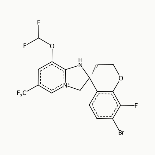 Fc1c(Br)ccc2c1OCC[C@@]21C[n+]2cc(C(F)(F)F)cc(OC(F)F)c2N1